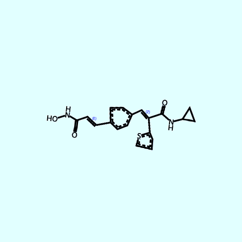 O=C(/C=C/c1ccc(/C=C(/C(=O)NC2CC2)c2cccs2)cc1)NO